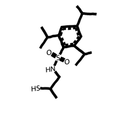 CC(S)CNS(=O)(=O)c1c(C(C)C)cc(C(C)C)cc1C(C)C